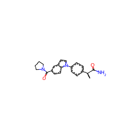 CC(C(N)=O)c1ccc(-n2ccc3cc(C(=O)N4CCCC4)ccc32)cc1